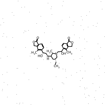 CC[C@@H]1CC(NC[C@H](O)c2ccc3c(c2C)COC3=O)[C@H](C)N(C[C@H](O)c2ccc3c(c2C)COC3=O)C1